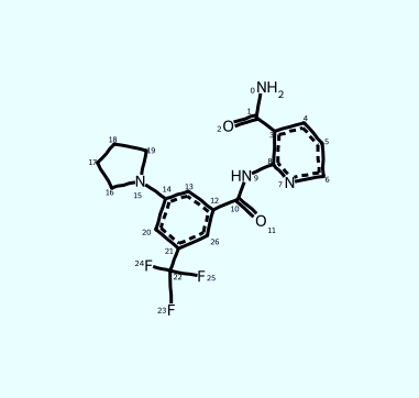 NC(=O)c1cccnc1NC(=O)c1cc(N2CCCC2)cc(C(F)(F)F)c1